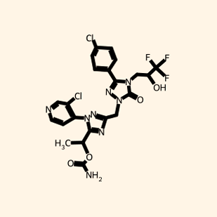 CC(OC(N)=O)c1nc(Cn2nc(-c3ccc(Cl)cc3)n(CC(O)C(F)(F)F)c2=O)nn1-c1ccncc1Cl